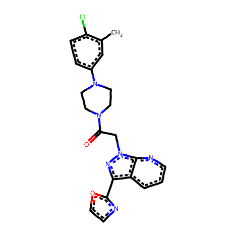 Cc1cc(N2CCN(C(=O)Cn3nc(-c4ncco4)c4cccnc43)CC2)ccc1Cl